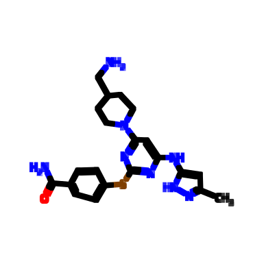 Cc1cc(Nc2cc(N3CCC(CN)CC3)nc(Sc3ccc(C(N)=O)cc3)n2)[nH]n1